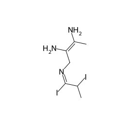 C/C(N)=C(/N)C/N=C(/I)C(C)I